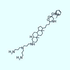 COC(=O)[C@H](Cc1ccccc1)NC(=O)CCCC1CCC2C3CC[C@@H]4CC(NCCCN(CCCN)CCCN)CCC4(C)C3CCC12C